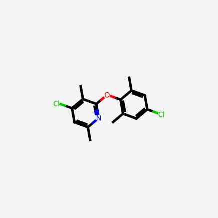 Cc1cc(Cl)c(C)c(Oc2c(C)cc(Cl)cc2C)n1